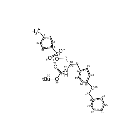 Cc1ccc(S(=O)(=O)OC[C@H](Cc2ccc(OCc3ccccc3)cc2)NC(=O)OC(C)(C)C)cc1